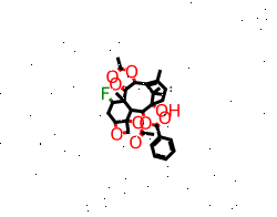 CC(=O)OC1C(=O)C2(C)C(F)CC3OCC3(OC(C)=O)C2C(OC(=O)c2ccccc2)C2(O)C[C]C(C)=C1C2(C)C